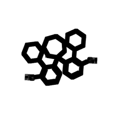 Oc1cccc(C2(c3cccc(O)c3C3CCCCC3)[C]CCCCC2)c1C1CCCCC1